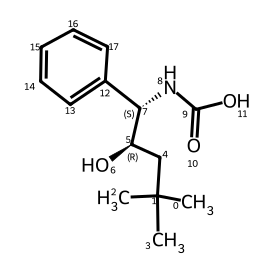 CC(C)(C)C[C@@H](O)[C@@H](NC(=O)O)c1ccccc1